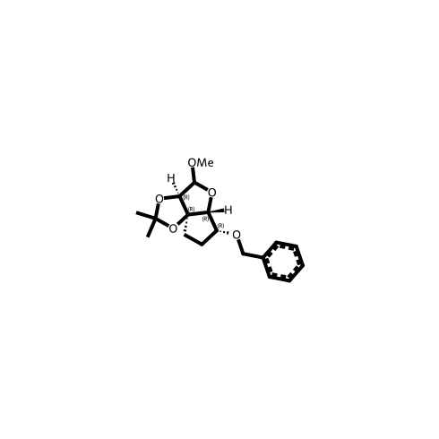 COC1O[C@@H]2[C@H](OCc3ccccc3)CC[C@@]23OC(C)(C)O[C@@H]13